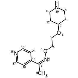 CC(=NOCCOC1CCNCC1)c1ccncc1